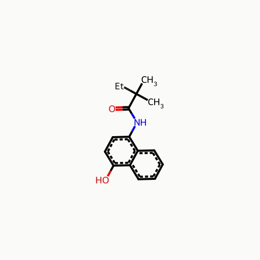 CCC(C)(C)C(=O)Nc1ccc(O)c2ccccc12